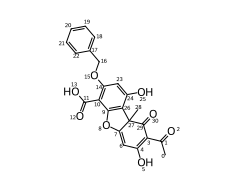 CC(=O)C1=C(O)C=C2Oc3c(C(=O)O)c(OCc4ccccc4)cc(O)c3C2(C)C1=O